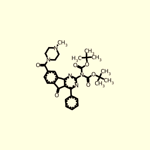 CN1CCN(C(=O)c2ccc3c(c2)-c2nc(N(C(=O)OC(C)(C)C)C(=O)OC(C)(C)C)nc(-c4ccccc4)c2C3=O)CC1